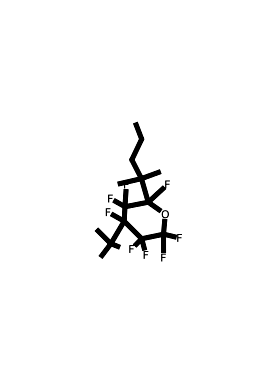 CCCC(C)(C)C1(F)OC(F)(F)C(F)(F)C(F)(C(C)(C)C)C1(F)F